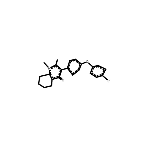 Cc1c(-c2ccc(Oc3ccc(Cl)cc3)cc2)c(=O)c2c(n1C)CCCC2